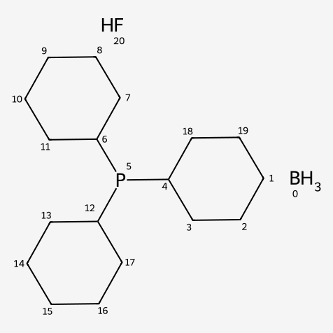 B.C1CCC(P(C2CCCCC2)C2CCCCC2)CC1.F